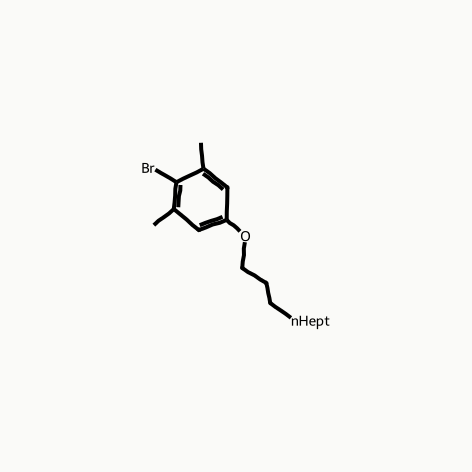 CCCCCCCCCCOc1cc(C)c(Br)c(C)c1